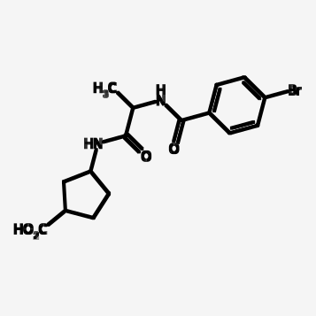 CC(NC(=O)c1ccc(Br)cc1)C(=O)NC1CCC(C(=O)O)C1